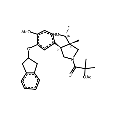 COc1ccc([C@@H]2CN(C(=O)C(C)(C)OC(C)=O)C[C@@]2(C)[C@@H](C)O)cc1OC1Cc2ccccc2C1